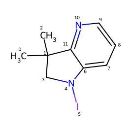 CC1(C)CN(I)c2cccnc21